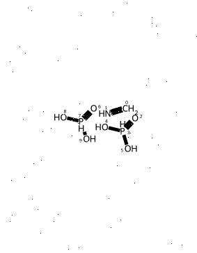 C=N.O=[PH](O)O.O=[PH](O)O